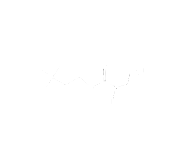 CCN(CC(=O)O)C(=O)OCC[Si](C)(C)C